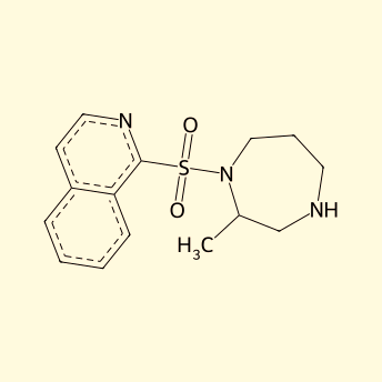 CC1CNCCCN1S(=O)(=O)c1nccc2ccccc12